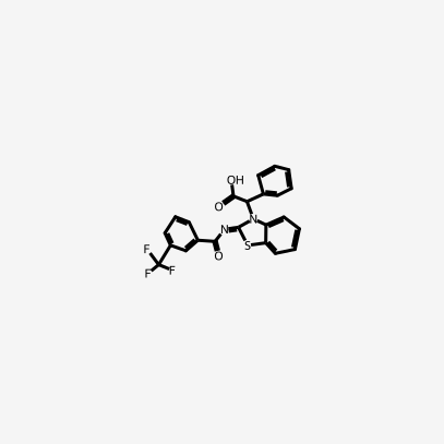 O=C(/N=c1\sc2ccccc2n1C(C(=O)O)c1ccccc1)c1cccc(C(F)(F)F)c1